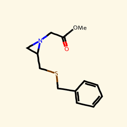 COC(=O)CN1CC1CSCc1ccccc1